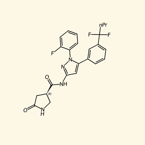 CCCC(F)(F)c1cccc(-c2cc(NC(=O)[C@H]3CNC(=O)C3)nn2-c2ccccc2F)c1